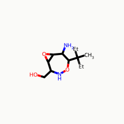 CCC(C)(CC)C1ONC(CO)C2OC2C1N